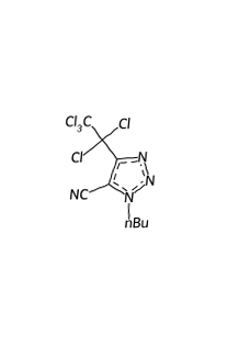 CCCCn1nnc(C(Cl)(Cl)C(Cl)(Cl)Cl)c1C#N